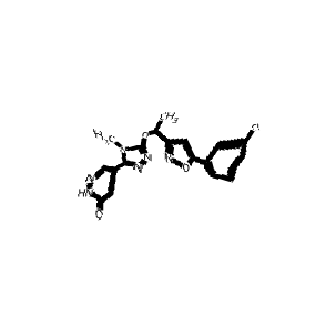 CC(Oc1nnc(-c2cn[nH]c(=O)c2)n1C)c1cc(-c2cccc(Cl)c2)on1